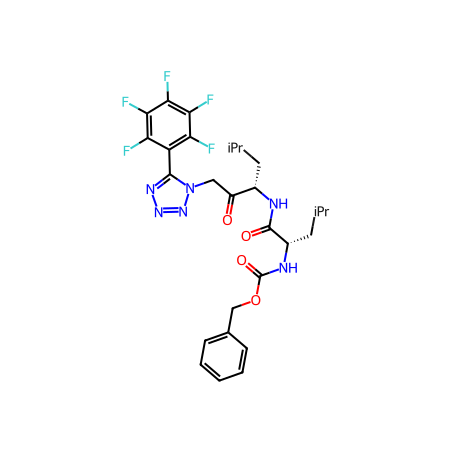 CC(C)C[C@H](NC(=O)[C@H](CC(C)C)NC(=O)OCc1ccccc1)C(=O)Cn1nnnc1-c1c(F)c(F)c(F)c(F)c1F